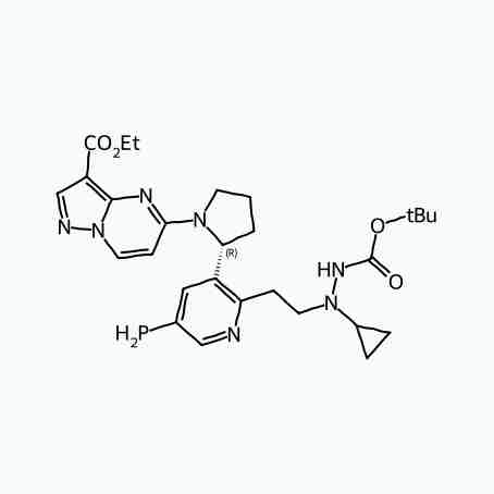 CCOC(=O)c1cnn2ccc(N3CCC[C@@H]3c3cc(P)cnc3CCN(NC(=O)OC(C)(C)C)C3CC3)nc12